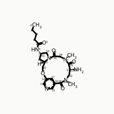 CCCCC(=O)N[C@H]1C[C@H]2COc3cncc(c3)C(=O)N(C)C[C@H](N)C(=O)N(C)CC(=O)N2C1